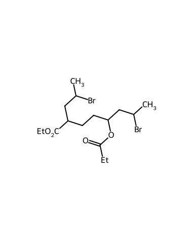 CCOC(=O)C(CCC(CC(C)Br)OC(=O)CC)CC(C)Br